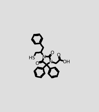 O=C(O)CN1C(=O)N(C(CS)Cc2ccccc2)C(=O)C1(c1ccccc1)c1ccccc1